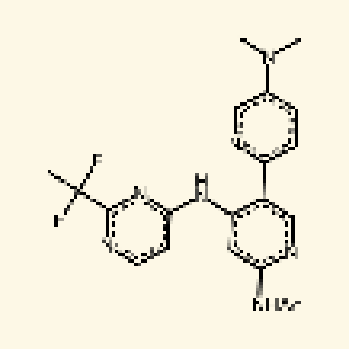 CC(=O)Nc1cc(Nc2ccnc(C(C)(F)F)n2)c(-c2ccc(N(C)C)cn2)cn1